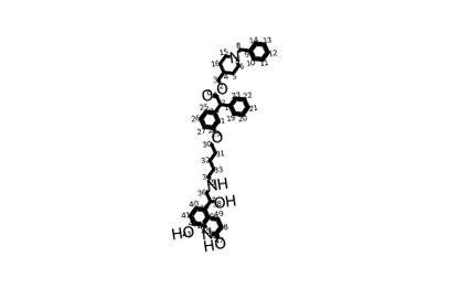 O=C(OCC1CCN(Cc2ccccc2)CC1)C(c1ccccc1)c1cccc(OCCCCCNCC(O)c2ccc(O)c3[nH]c(=O)ccc23)c1